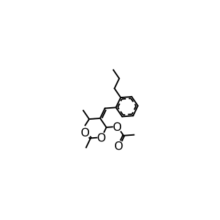 CCCc1ccccc1C=C(C(C)C)C(OC(C)=O)OC(C)=O